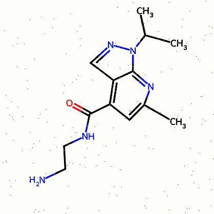 Cc1cc(C(=O)NCCN)c2cnn(C(C)C)c2n1